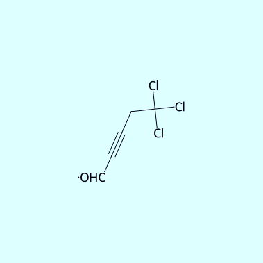 O=[C]C#CCC(Cl)(Cl)Cl